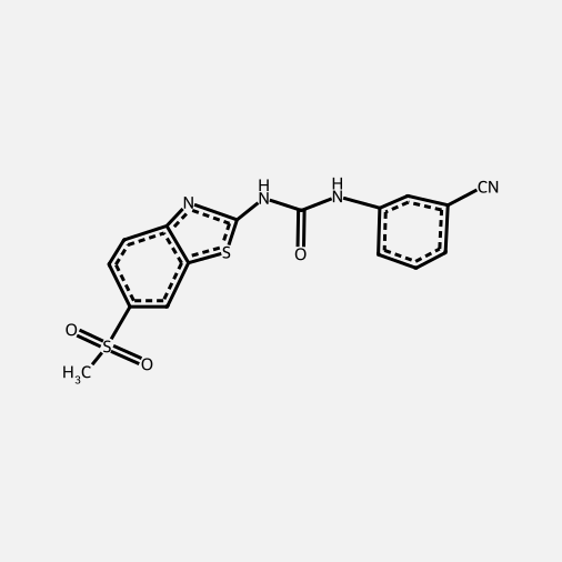 CS(=O)(=O)c1ccc2nc(NC(=O)Nc3cccc(C#N)c3)sc2c1